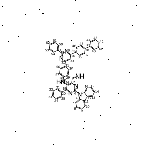 N=Cc1nc(-n2c3ccccc3c3ccccc32)nc(-c2ccccc2)c1Nc1ccc(-c2cc(-c3ccc(-c4ccccc4)cc3)nc(-c3ccccc3)n2)cc1